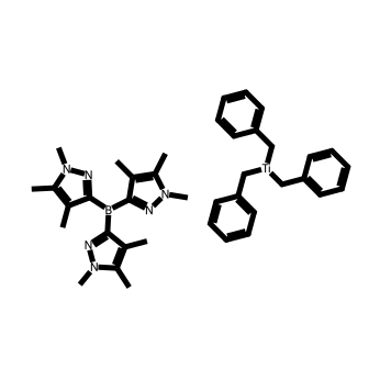 Cc1c(B(c2nn(C)c(C)c2C)c2nn(C)c(C)c2C)nn(C)c1C.c1ccc([CH2][Ti]([CH2]c2ccccc2)[CH2]c2ccccc2)cc1